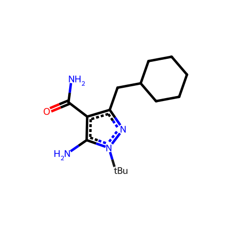 CC(C)(C)n1nc(CC2CCCCC2)c(C(N)=O)c1N